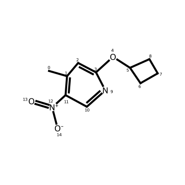 Cc1cc(OC2CCC2)ncc1[N+](=O)[O-]